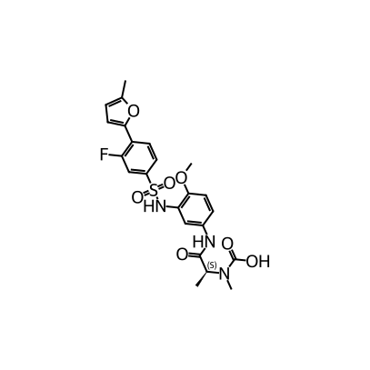 COc1ccc(NC(=O)[C@H](C)N(C)C(=O)O)cc1NS(=O)(=O)c1ccc(-c2ccc(C)o2)c(F)c1